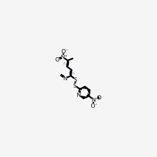 C=N/C(=C\C=C(/C)[N+](=O)[O-])SSc1ccc([N+](=O)[O-])cn1